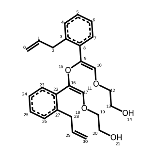 C=CCc1ccccc1C(=COCCO)OC(=COCCO)c1ccccc1CC=C